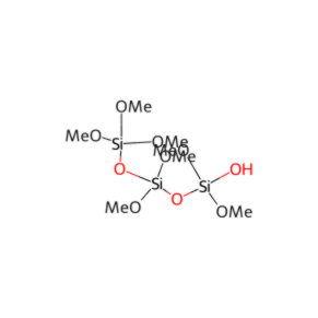 CO[Si](O)(OC)O[Si](OC)(OC)O[Si](OC)(OC)OC